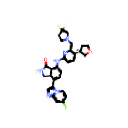 O=C1NCc2c(-c3cnc4cc(F)ccn34)ccc(Nc3ccc([C@H]4CCOC4)c(CN4CCC(F)(F)C4)n3)c21